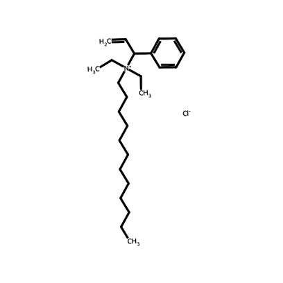 C=CC(c1ccccc1)[N+](CC)(CC)CCCCCCCCCCCC.[Cl-]